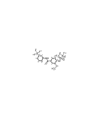 COc1cc(C(=O)Nc2cc(C(F)(F)F)ccn2)cc(F)c1OS(=O)(=O)C(F)(F)F